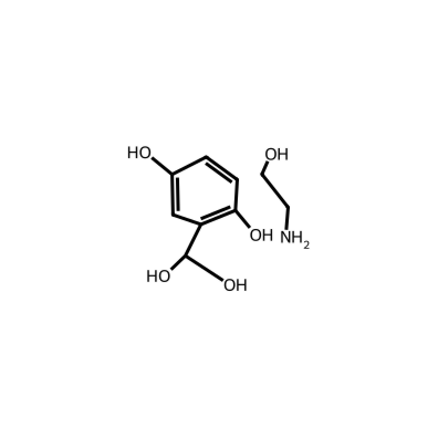 NCCO.Oc1ccc(O)c(C(O)O)c1